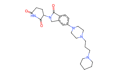 O=C1CCC(N2Cc3cc(N4CCN(CCCN5CCCCC5)CC4)ccc3C2=O)C(=O)N1